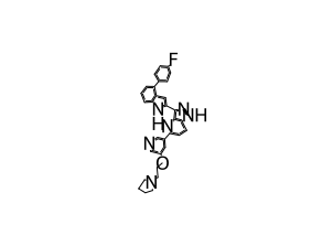 Fc1ccc(-c2cccc3[nH]c(-c4n[nH]c5ccc(-c6cncc(OCCN7CCCC7)c6)nc45)cc23)cc1